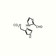 O=C(O)Cc1c[nH]cn1.O=Cc1ncc[nH]1